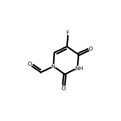 O=[C]n1cc(F)c(=O)[nH]c1=O